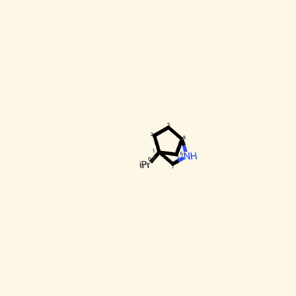 CC(C)C12CCC(C1)NC2